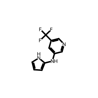 FC(F)(F)c1cncc(Nc2ccc[nH]2)c1